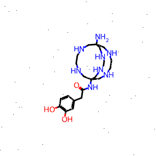 NC12CNCCNCC(NC(=O)Cc3ccc(O)c(O)c3)(CNCCNC1)CNCCNC2